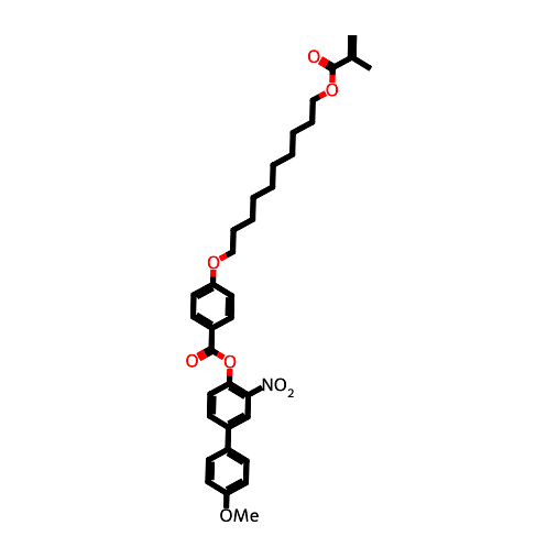 C=C(C)C(=O)OCCCCCCCCCCOc1ccc(C(=O)Oc2ccc(-c3ccc(OC)cc3)cc2[N+](=O)[O-])cc1